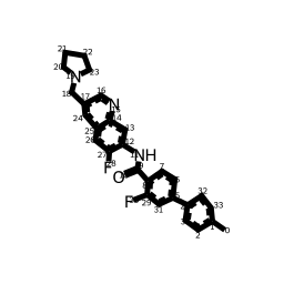 Cc1ccc(-c2ccc(C(=O)Nc3cc4ncc(CN5CCCC5)cc4cc3F)c(F)c2)cc1